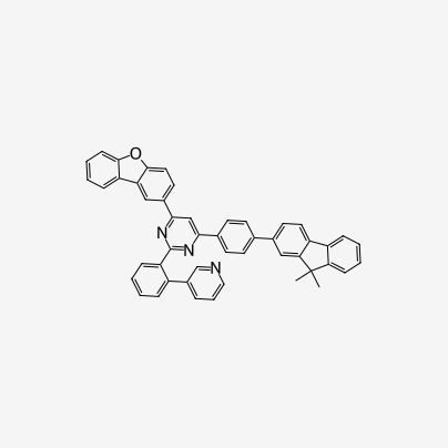 CC1(C)c2ccccc2-c2ccc(-c3ccc(-c4cc(-c5ccc6oc7ccccc7c6c5)nc(-c5ccccc5-c5cccnc5)n4)cc3)cc21